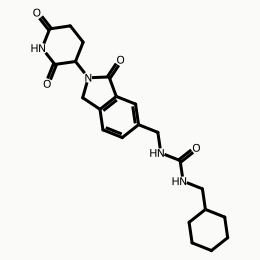 O=C1CCC(N2Cc3ccc(CNC(=O)NCC4CCCCC4)cc3C2=O)C(=O)N1